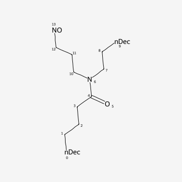 CCCCCCCCCCCCCC(=O)N(CCCCCCCCCCCC)CCCN=O